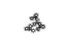 FN(c1ccccc1)c1cc(-c2ccc(N(C3=Cc4c(c5ccccc5n4-c4ccccc4)CC3)c3ccc4c5ccccc5n(-c5ccccc5)c4c3)cc2)ccc1-c1ccccc1